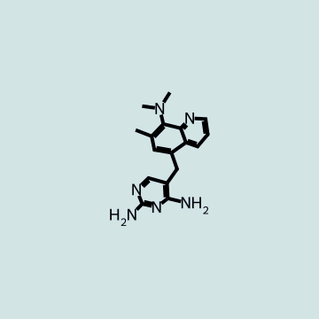 Cc1cc(Cc2cnc(N)nc2N)c2cccnc2c1N(C)C